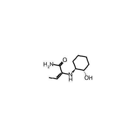 CC=C(N[C@H]1CCCC[C@@H]1O)C(N)=O